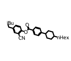 CCCCCCC1CCC(c2ccc(C(=O)Oc3ccc(CC(C)CC)cc3C#N)cc2)CC1